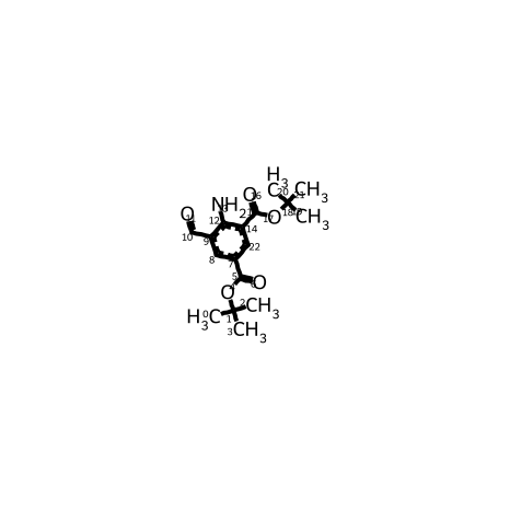 CC(C)(C)OC(=O)c1cc(C=O)c(N)c(C(=O)OC(C)(C)C)c1